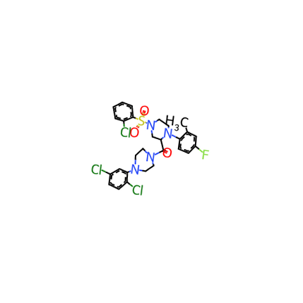 Cc1cc(F)ccc1N1CCN(S(=O)(=O)c2ccccc2Cl)CC1C(=O)N1CCN(c2cc(Cl)ccc2Cl)CC1